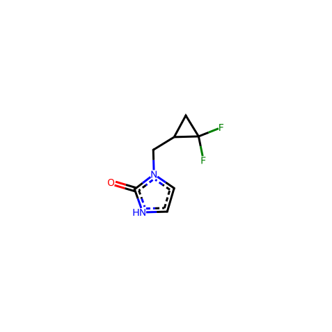 O=c1[nH]ccn1CC1CC1(F)F